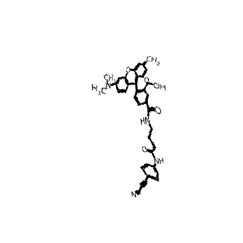 C=c1ccc2c(c1)Oc1cc(N(C)C)ccc1C=2c1ccc(C(=O)NCCCC(=O)Nc2ccc(C#CC#N)cc2)cc1C(=O)O